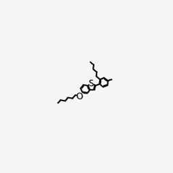 CCCCCCOc1ccc2sc(-c3ccc(C)cc3CCCCC)cc2c1